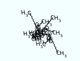 CCCCCCCCCCC[C@H](CC(=O)NCCO[C@H]1O[C@H](CO)[C@@H](OP(=O)(O)O)[C@H](OC(=O)C[C@@H](CCCCCCCCCCC)OC(=O)CCCCC)[C@H]1NC(=O)C[C@@H](CCCCCCCCCCC)OC(=O)CCCCC)OC(=O)CCCCC.CCN(CC)CC